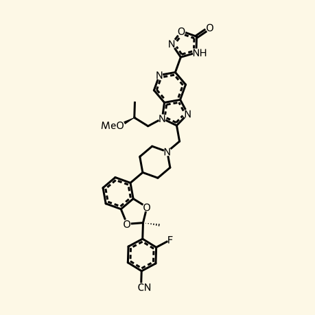 CO[C@@H](C)Cn1c(CN2CCC(c3cccc4c3O[C@@](C)(c3ccc(C#N)cc3F)O4)CC2)nc2cc(-c3noc(=O)[nH]3)ncc21